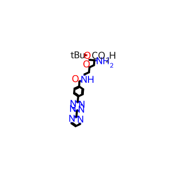 CC(C)(C)OC(=O)[C@](N)(CCCCNC(=O)c1ccc(-c2nnc(-c3ncccn3)nn2)cc1)C(=O)O